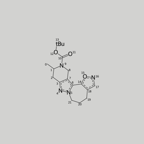 CC1Cc2nn3c(c2CN1C(=O)OC(C)(C)C)-c1oncc1CCC3